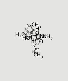 C=C(C)[C@@H]1CCC(C)=C[C@H]1c1c(O)cc(CCCCC)c(C(=O)NN)c1O